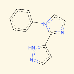 c1ccc(-n2ccnc2-c2ccn[nH]2)cc1